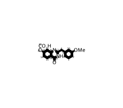 COc1cccc(Cc2nc3cc(OC(=O)O)ccc3c(=O)[nH]2)c1